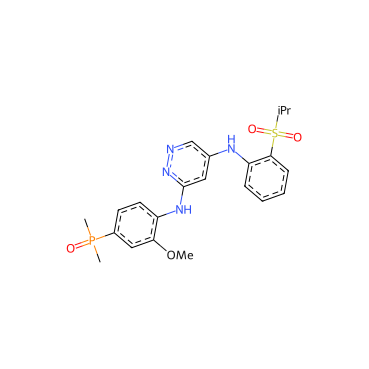 COc1cc(P(C)(C)=O)ccc1Nc1cc(Nc2ccccc2S(=O)(=O)C(C)C)cnn1